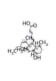 CCC(C)/C=C(/C)[C@H]1[C@@H](/C=C/C=C/C(=O)O)[C@H]2[C@@H](C[C@@H]1C)[C@@H](O)CC[C@@H]2C